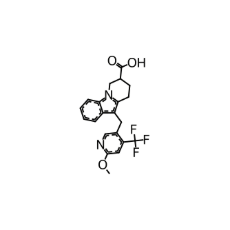 COc1cc(C(F)(F)F)c(Cc2c3n(c4ccccc24)CC(C(=O)O)CC3)cn1